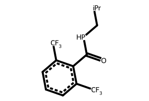 CC(C)CPC(=O)c1c(C(F)(F)F)cccc1C(F)(F)F